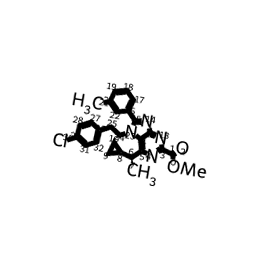 COC(=O)c1nc([C@H](C)C2CC2)c2c(n1)nc(-c1cccc(C)c1)n2CCc1ccc(Cl)cc1